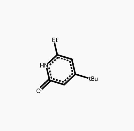 CCc1cc(C(C)(C)C)cc(=O)[nH]1